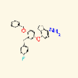 Cc1cc(N)c2c(c1Oc1ccc(OCc3ccccc3)c(Cc3ccc(F)cc3)c1)CCC2